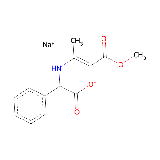 COC(=O)C=C(C)NC(C(=O)[O-])c1ccccc1.[Na+]